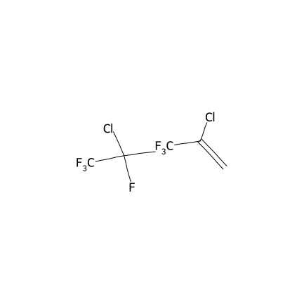 C=C(Cl)C(F)(F)F.CC(F)(Cl)C(F)(F)F